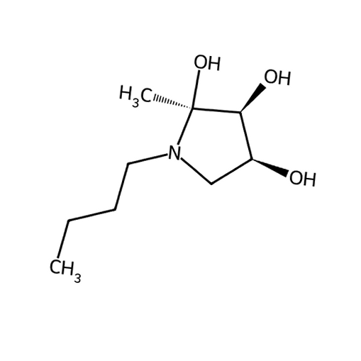 CCCCN1C[C@H](O)[C@H](O)[C@]1(C)O